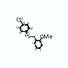 COc1ccccc1CSc1ccc(Cl)cc1